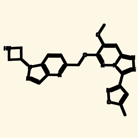 COc1cc2nnc(-c3cc(C)on3)n2nc1OCc1ccc2c(cnn2C2CNC2)n1